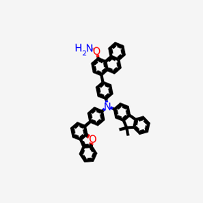 CC1(C)c2ccccc2-c2ccc(N(c3ccc(-c4ccc(ON)c5c4ccc4ccccc45)cc3)c3ccc(-c4cccc5c4oc4ccccc45)cc3)cc21